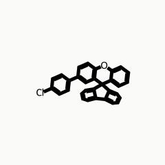 Clc1ccc(-c2ccc3c(c2)C2(c4ccccc4O3)c3ccccc3-c3ccccc32)cc1